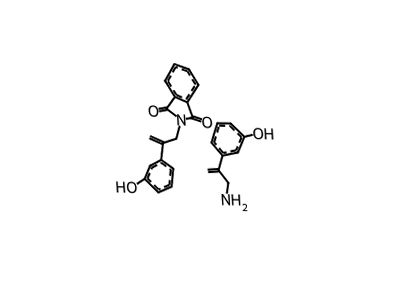 C=C(CN)c1cccc(O)c1.C=C(CN1C(=O)c2ccccc2C1=O)c1cccc(O)c1